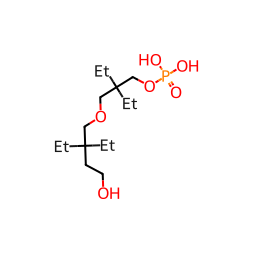 CCC(CC)(CCO)COCC(CC)(CC)COP(=O)(O)O